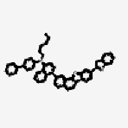 C/C=C\C=C/CN(c1ccc(-c2ccccc2)cc1)c1ccc(-c2ccc3ccc4c5ccc(C6=Nc7ccccc7C6)cc5oc4c3c2)c2ccccc12